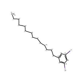 CCCCCCCCCCCCCCc1cc(I)cc(I)c1